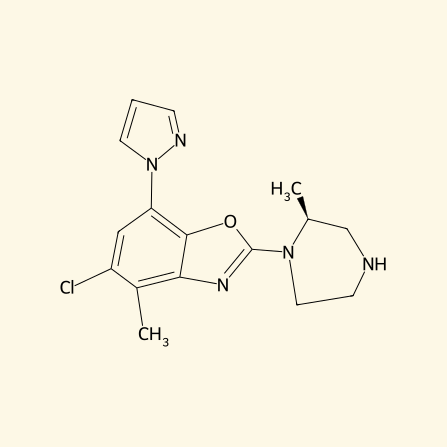 Cc1c(Cl)cc(-n2cccn2)c2oc(N3CCNC[C@@H]3C)nc12